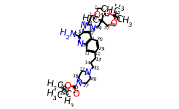 CCOCc1nc2c(N)nc3cc(CCCN4CCN(C(=O)OC(C)(C)C)CC4)ccc3c2n1CC1(C)COC(C)(C)OC1